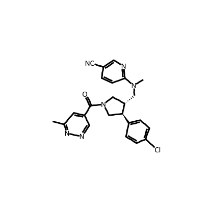 Cc1cc(C(=O)N2C[C@H](CN(C)c3ccc(C#N)cn3)[C@@H](c3ccc(Cl)cc3)C2)cnn1